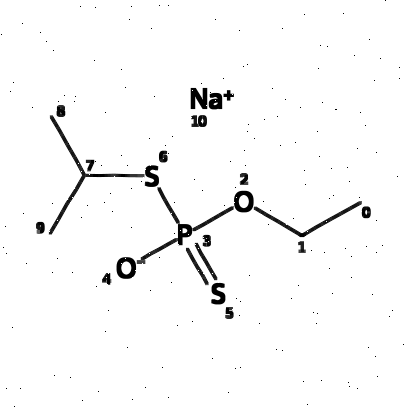 CCOP([O-])(=S)SC(C)C.[Na+]